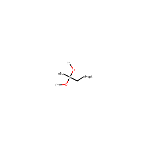 CCCCCCCC[Si](CCCC)(OCC)OCC